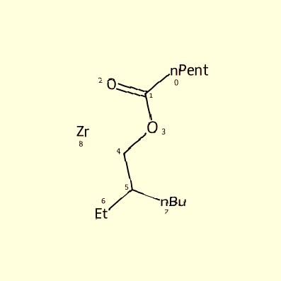 CCCCCC(=O)OCC(CC)CCCC.[Zr]